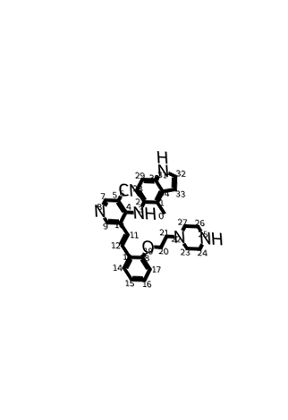 Cc1c(Nc2c(C#N)cncc2C=Cc2ccccc2OCCN2CCNCC2)ccc2[nH]ccc12